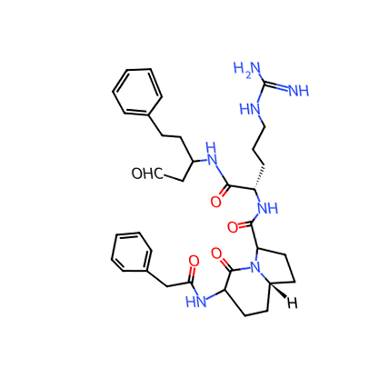 N=C(N)NCCC[C@H](NC(=O)C1CC[C@@H]2CCC(NC(=O)Cc3ccccc3)C(=O)N12)C(=O)NC(CC=O)CCc1ccccc1